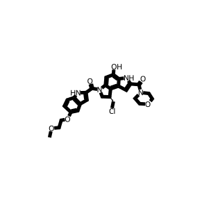 COCCOc1ccc2[nH]c(C(=O)N3C[C@@H](CCl)c4c3cc(O)c3[nH]c(C(=O)N5CCOCC5)cc43)cc2c1